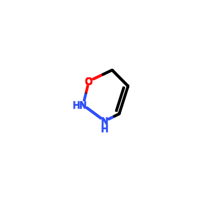 C1=CNNOC1